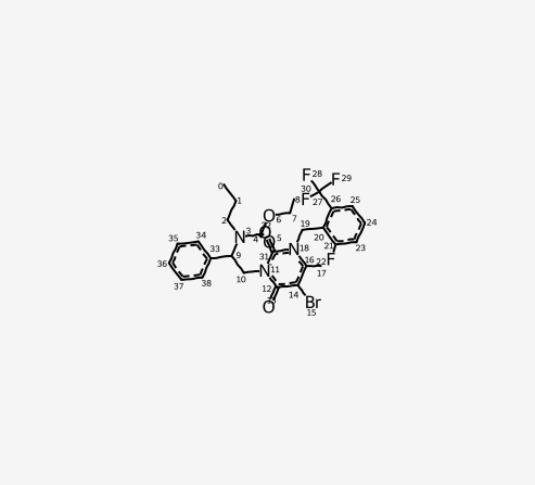 CCCN(C(=O)OCC)C(Cn1c(=O)c(Br)c(C)n(Cc2c(F)cccc2C(F)(F)F)c1=O)c1ccccc1